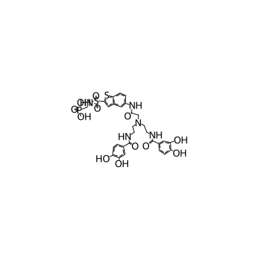 O=C(CN(CCNC(=O)c1ccc(O)c(O)c1)CCNC(=O)c1ccc(O)c(O)c1)Nc1ccc2sc(S(=O)(=O)NCP(=O)(O)O)cc2c1